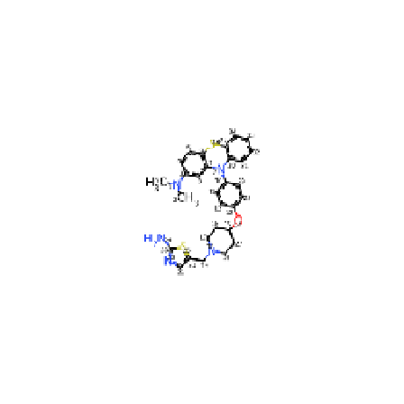 CN(C)c1ccc2c(c1)N(c1ccc(OC3CCN(Cc4cnc(N)s4)CC3)cc1)c1ccccc1S2